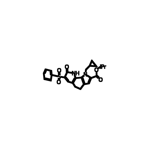 CC(C)OC(=O)c1cc2c(n1CC1CC1)-c1[nH]c(=O)c(S(=O)(=O)c3ccccc3)cc1CC2